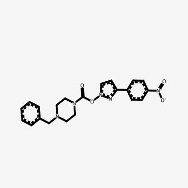 O=C(On1ccc(-c2ccc([N+](=O)[O-])cc2)n1)N1CCN(Cc2ccccc2)CC1